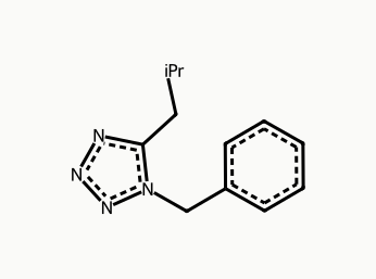 CC(C)Cc1nnnn1Cc1ccccc1